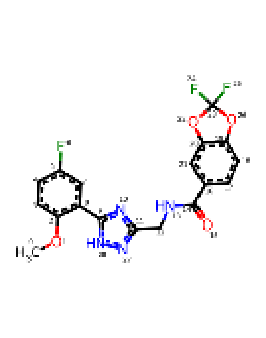 COc1ccc(F)cc1-c1nc(CNC(=O)c2ccc3c(c2)OC(F)(F)O3)n[nH]1